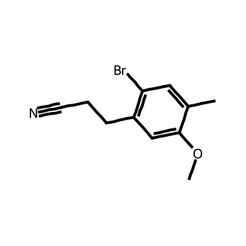 COc1cc(CCC#N)c(Br)cc1C